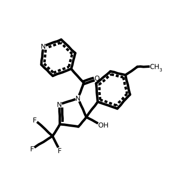 CCc1ccc(C2(O)CC(C(F)(F)F)=NN2C(=O)c2ccncc2)cc1